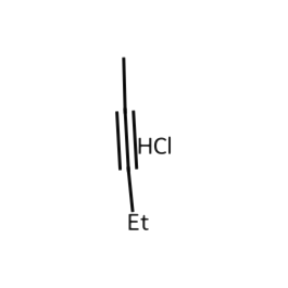 CC#CCC.Cl